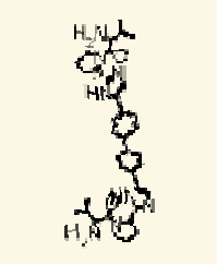 C=C(C)[C@H](N)C(=O)N1CCC[C@H]1c1ncc(-c2ccc(-c3ccc(-c4cnc(C5CCCN5C(=O)[C@@H](N)C(C)C)[nH]4)cc3)cc2)[nH]1